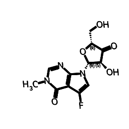 Cn1cnc2c(c(F)cn2[C@@H]2O[C@H](CO)C(=O)[C@H]2O)c1=O